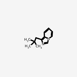 CC(C)(C)Cc1ncn2ccccc12